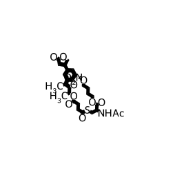 CC(=O)NC(CSC(=O)CCC(=O)OC(C)c1oc2ccc(C3=CC(=O)OC3)cc2c1C)C(=O)OCCCCO[N+](=O)[O-]